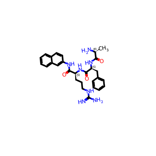 C[C@@H](N)C(=O)N[C@@H](Cc1ccccc1)C(=O)N[C@@H](CCCNC(=N)N)C(=O)Nc1ccc2ccccc2c1